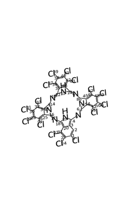 Clc1cc2c3nc4nc(nc5[nH]c(nc6nc(nc([nH]3)c2c(Cl)c1Cl)-c1c(Cl)c(Cl)c(Cl)c(Cl)c1-6)c1c(Cl)c(Cl)c(Cl)c(Cl)c51)-c1c(Cl)c(Cl)c(Cl)c(Cl)c1-4